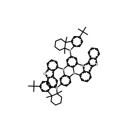 CC(C)(C)c1ccc2c(c1)C1(C)CCCCC1(C)N2c1ccc2c(c1)N(c1cccc3oc4ccccc4c13)c1cc(N3c4ccc(C(C)(C)C)cc4C4(C)CCCCC34C)cc3c1B2c1cccc2c4sc5ccccc5c4n-3c12